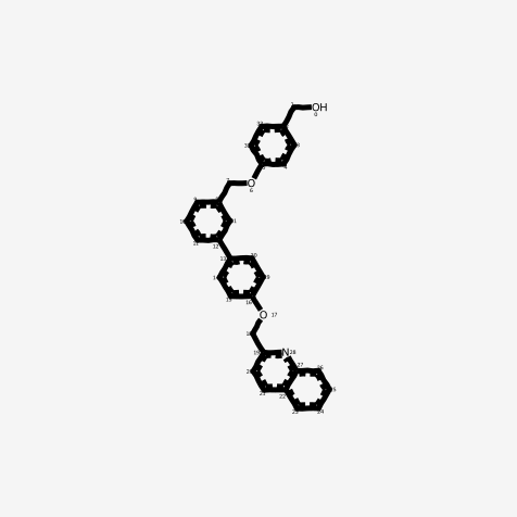 OCc1ccc(OCc2cccc(-c3ccc(OCc4ccc5ccccc5n4)cc3)c2)cc1